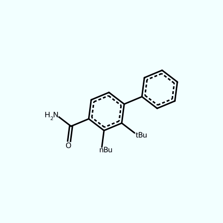 CCCCc1c(C(N)=O)ccc(-c2ccccc2)c1C(C)(C)C